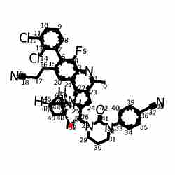 Cc1nc2c(F)c(-c3cccc(Cl)c3Cl)c(CCC#N)cc2c2c1cc([C@@H](C)N1CCCN(c3ccc(C#N)cc3)C1=O)n2[C@H]1[C@H]2CN[C@@H]1C2